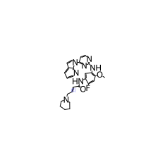 COc1cc(F)c(NC(=O)/C=C/CN2CCCCC2)cc1Nc1nccc(-n2ccc3cccnc32)n1